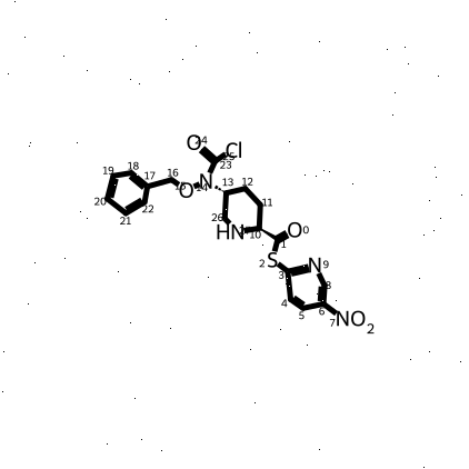 O=C(Sc1ccc([N+](=O)[O-])cn1)[C@@H]1CC[C@@H](N(OCc2ccccc2)C(=O)Cl)CN1